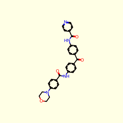 O=C(Nc1ccc(C(=O)c2ccc(NC(=O)c3ccc(N4CCOCC4)cc3)cc2)cc1)c1ccncc1